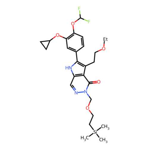 CCOCCc1c(-c2ccc(OC(F)F)c(OC3CC3)c2)[nH]c2cnn(COCC[Si](C)(C)C)c(=O)c12